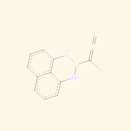 C=C=C(CC)B1Nc2cccc3cccc(c23)N1